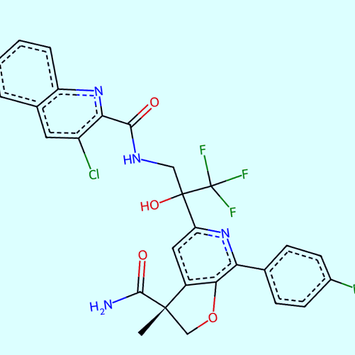 C[C@]1(C(N)=O)COc2c1cc(C(O)(CNC(=O)c1nc3ccccc3cc1Cl)C(F)(F)F)nc2-c1ccc(F)cc1